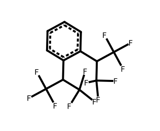 FC(F)(F)C(c1ccccc1C(C(F)(F)F)C(F)(F)F)C(F)(F)F